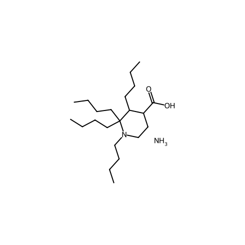 CCCCC1C(C(=O)O)CCN(CCCC)C1(CCCC)CCCC.N